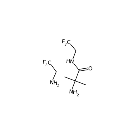 CC(C)(N)C(=O)NCC(F)(F)F.NCC(F)(F)F